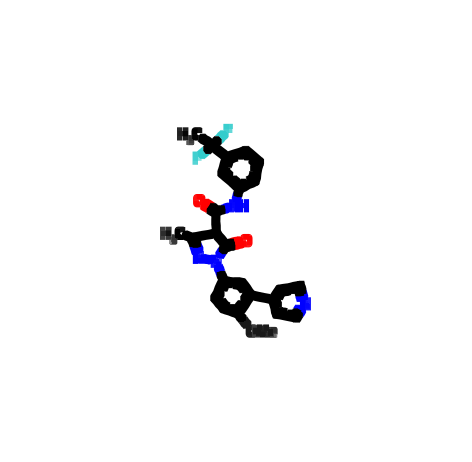 COc1ccc(N2N=C(C)C(C(=O)Nc3cccc(C(C)(F)F)c3)C2=O)cc1-c1ccncc1